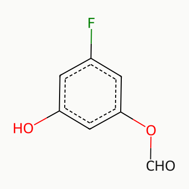 O=COc1cc(O)cc(F)c1